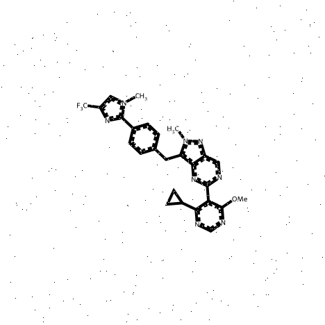 COc1ncnc(C2CC2)c1-c1ncc2nn(C)c(Cc3ccc(-c4nc(C(F)(F)F)cn4C)cc3)c2n1